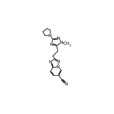 Cn1nc(N2CCCC2)nc1CCc1nc2ccc(C#N)cn2n1